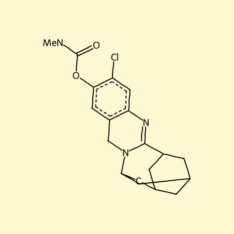 CNC(=O)Oc1cc2c(cc1Cl)N=C1C3CC4CC(C3)CC(C4)N1C2